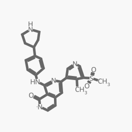 Cc1c(-c2cc3c(c(Nc4ccc(C5CCNCC5)cc4)n2)C(=O)[N]C=C3)cncc1S(C)(=O)=O